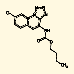 CCCCOC(=O)Nc1cc2ccc(Cl)cc2n2nnnc12